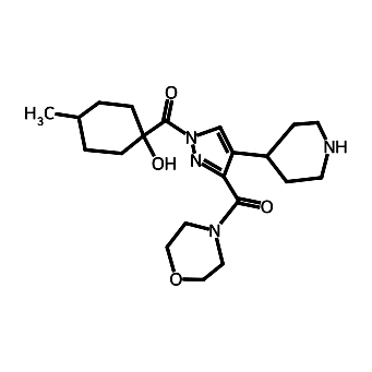 CC1CCC(O)(C(=O)n2cc(C3CCNCC3)c(C(=O)N3CCOCC3)n2)CC1